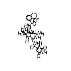 N=C1NC2[C@H](CNC(=O)c3cc(=O)[nH]c(=O)[nH]3)NC(=N)N3C[C@H](NC(=O)c4cccc5c4C(F)(F)CCC5)C(O)(O)C23N1